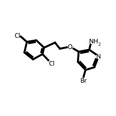 Nc1ncc(Br)cc1OCCc1cc(Cl)ccc1Cl